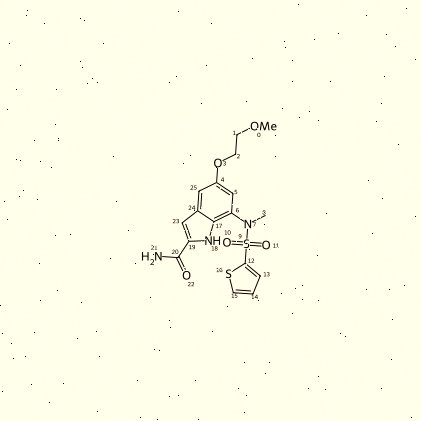 COCCOc1cc(N(C)S(=O)(=O)c2cccs2)c2[nH]c(C(N)=O)cc2c1